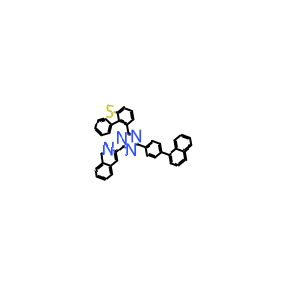 c1ccc2cc(-c3nc(-c4ccc(-c5cccc6ccccc56)cc4)nc(-c4cccc5sc6ccccc6c45)n3)ncc2c1